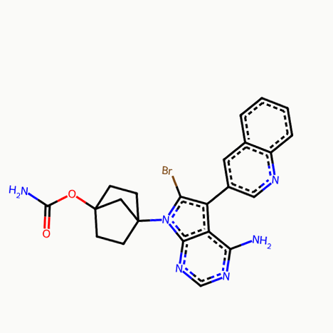 NC(=O)OC12CCC(n3c(Br)c(-c4cnc5ccccc5c4)c4c(N)ncnc43)(CC1)C2